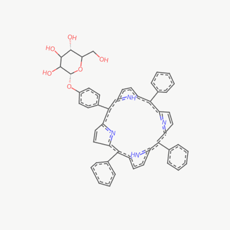 OCC1O[C@H](Oc2ccc(-c3c4nc(c(-c5ccccc5)c5ccc([nH]5)c(-c5ccccc5)c5nc(c(-c6ccccc6)c6ccc3[nH]6)C=C5)C=C4)cc2)C(O)C(O)[C@@H]1O